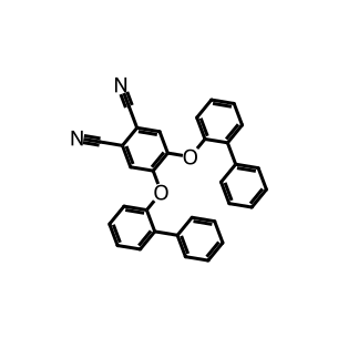 N#Cc1cc(Oc2ccccc2-c2ccccc2)c(Oc2ccccc2-c2ccccc2)cc1C#N